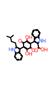 CC(C)CCc1[nH]c2ccccc2c1C1=C(O)C(=O)C(c2c(C(=O)O)[nH]c3ccccc23)=C(O)C1=O